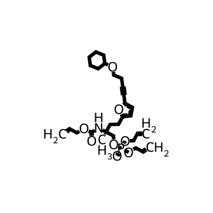 C=CCOC(=O)N[C@](C)(CCc1ccc(C#CCCOC2CCCCC2)o1)COP(=O)(OCC=C)OCC=C